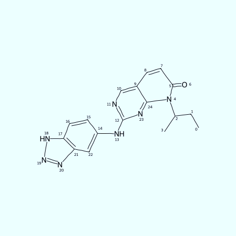 CCC(C)n1c(=O)ccc2cnc(Nc3ccc4[nH]nnc4c3)nc21